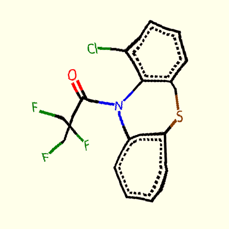 O=C(N1c2ccccc2Sc2cccc(Cl)c21)C(F)(F)F